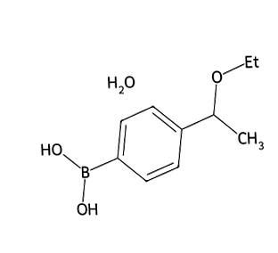 CCOC(C)c1ccc(B(O)O)cc1.O